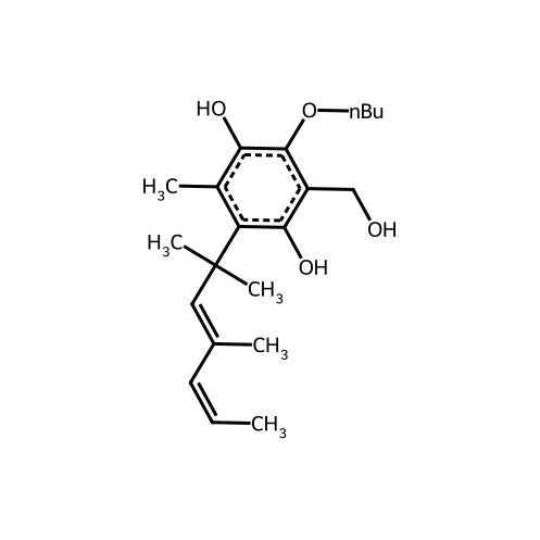 C/C=C\C(C)=C\C(C)(C)c1c(C)c(O)c(OCCCC)c(CO)c1O